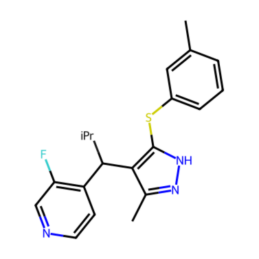 Cc1cccc(Sc2[nH]nc(C)c2C(c2ccncc2F)C(C)C)c1